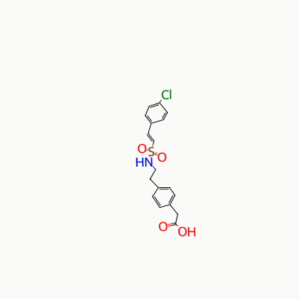 O=C(O)Cc1ccc(CCNS(=O)(=O)/C=C/c2ccc(Cl)cc2)cc1